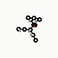 c1ccc(-c2ccc(-c3cc(-c4cccc(-c5nc6ccccc6c6ccc7c8ccccc8n(-c8ccccc8)c7c56)c4)cc(-c4ccc(-c5ccccn5)cc4)n3)nc2)cc1